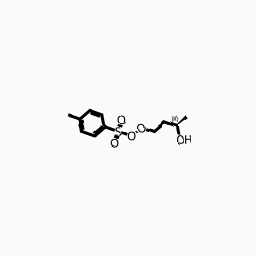 Cc1ccc(S(=O)(=O)OOCC[C@@H](C)O)cc1